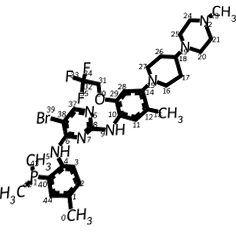 Cc1ccc(Nc2nc(Nc3cc(C)c(N4CCC(N5CCN(C)CC5)CC4)cc3OCC(F)(F)F)ncc2Br)c(P(C)C)c1